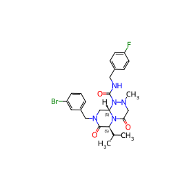 CC(C)[C@H]1C(=O)N(Cc2cccc(Br)c2)C[C@H]2N1C(=O)CN(C)N2C(=O)NCc1ccc(F)cc1